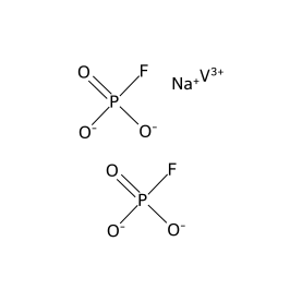 O=P([O-])([O-])F.O=P([O-])([O-])F.[Na+].[V+3]